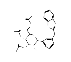 CC(=O)OCC1OC(c2cccc(Cc3nc4ccccc4o3)c2)[C@H](O)[C@@H](OC(C)=O)[C@@H]1OC(C)=O